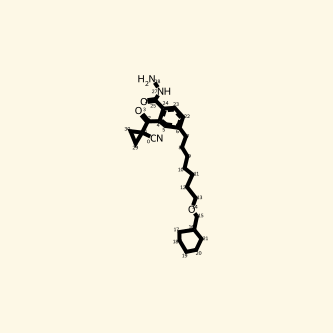 N#CC1(C(=O)c2cc(CCCCCCCOCC3CCCCC3)ccc2C(=O)NN)CC1